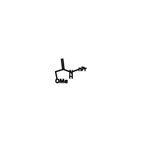 C=C(COC)NCCC